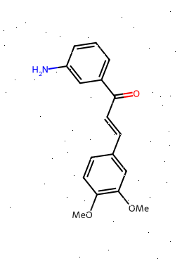 COc1ccc(/C=C/C(=O)c2cccc(N)c2)cc1OC